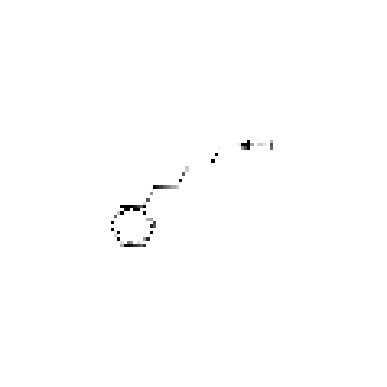 CCCCCC[CH]CCCCCc1ccccc1